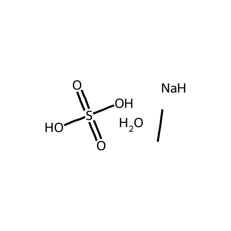 CC.O.O=S(=O)(O)O.[NaH]